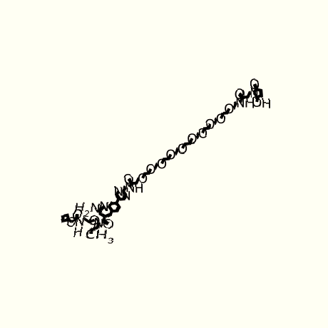 CCCN(OCCNC(=O)OC1CCC1)C(=O)C1=Cc2ccc(-c3cnc(CNC(=O)CCOCCOCCOCCOCCOCCOCCOCCOCCOCCOCCNC(=O)CCN4C(=O)C=CC4O)nc3)cc2N=C(N)C1